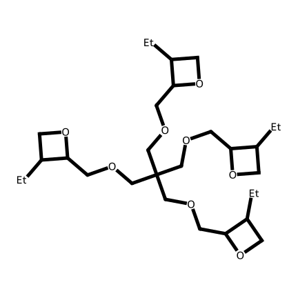 CCC1COC1COCC(COCC1OCC1CC)(COCC1OCC1CC)COCC1OCC1CC